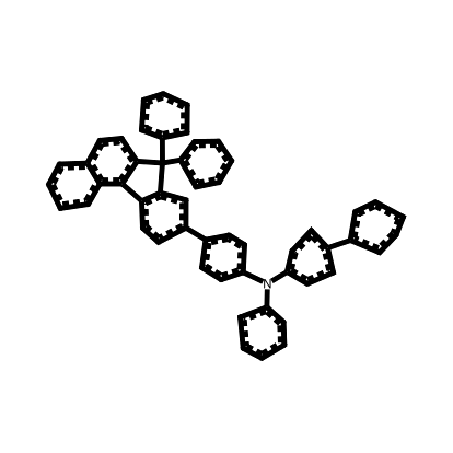 c1ccc(-c2ccc(N(c3ccccc3)c3ccc(-c4ccc5c(c4)C(c4ccccc4)(c4ccccc4)c4ccc6ccccc6c4-5)cc3)cc2)cc1